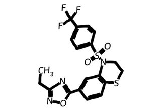 CCc1noc(-c2ccc3c(c2)N(S(=O)(=O)c2ccc(C(F)(F)F)cc2)CCS3)n1